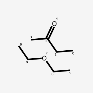 CCC(C)=O.CCOCC